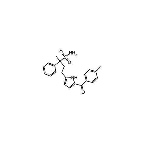 Cc1ccc(C(=O)c2ccc(CCC(C)(c3ccccc3)S(N)(=O)=O)[nH]2)cc1